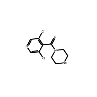 O=C(c1c(Cl)cncc1Cl)N1CCNCC1